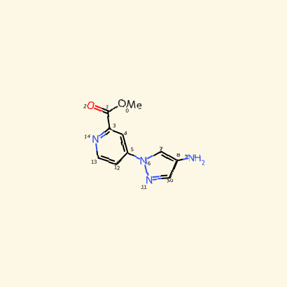 COC(=O)c1cc(-n2cc(N)cn2)ccn1